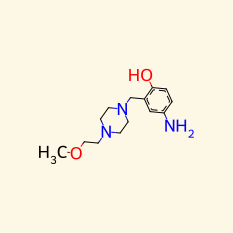 COCCN1CCN(Cc2cc(N)ccc2O)CC1